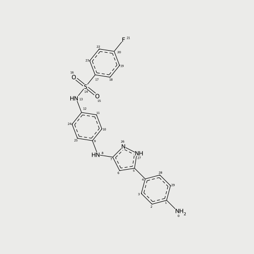 Nc1ccc(-c2cc(Nc3ccc(NS(=O)(=O)c4ccc(F)cc4)cc3)n[nH]2)cc1